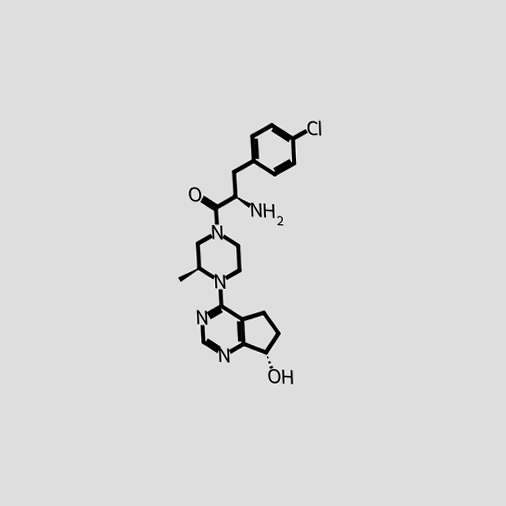 C[C@H]1CN(C(=O)[C@H](N)Cc2ccc(Cl)cc2)CCN1c1ncnc2c1CC[C@@H]2O